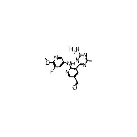 COc1ncc(Nc2ncc(C=O)cc2-c2nc(C)nc(N)n2)cc1F